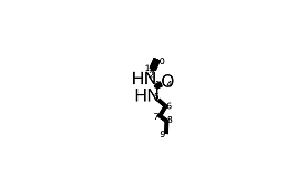 C#CNC(=O)NCCCC